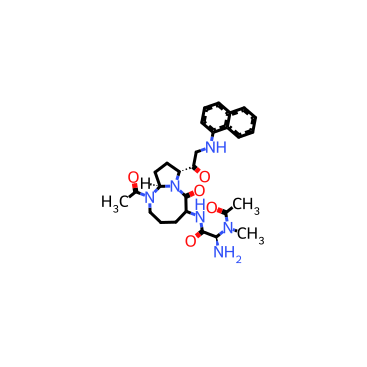 CC(=O)N(C)[C@@H](N)C(=O)NC1CCCN(C(C)=O)[C@H]2CC[C@H](C(=O)CNc3cccc4ccccc34)N2C1=O